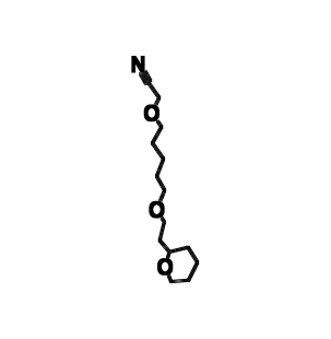 N#CCOCCCCCOCCC1CCCCO1